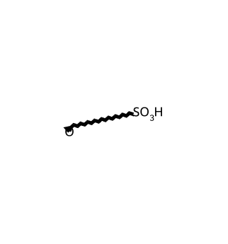 O=S(=O)(O)CCCCCCCCCCCCCCCCCCC1CO1